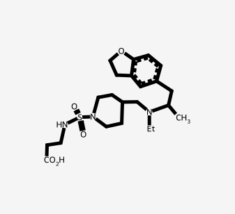 CCN(CC1CCN(S(=O)(=O)NCCC(=O)O)CC1)C(C)Cc1ccc2c(c1)CCO2